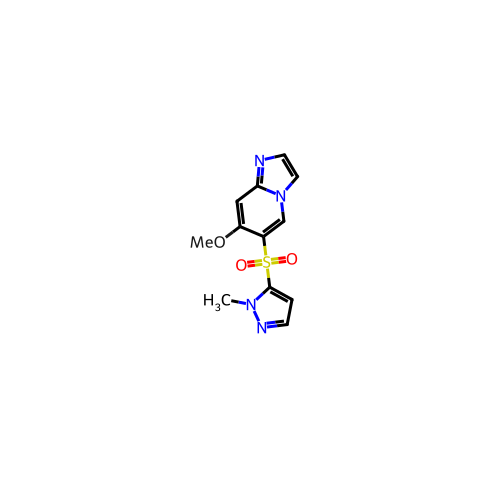 COc1cc2nccn2cc1S(=O)(=O)c1ccnn1C